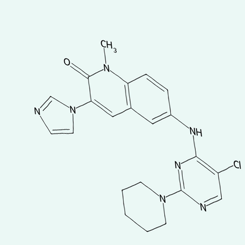 Cn1c(=O)c(-n2ccnc2)cc2cc(Nc3nc(N4CCCCC4)ncc3Cl)ccc21